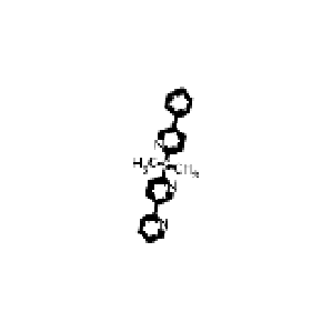 C[Si](C)(c1ccc(-c2ccccc2)cn1)c1ccc(-c2ccccn2)cn1